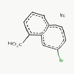 O=C(O)c1cccc2ccc(Br)cc12.[In]